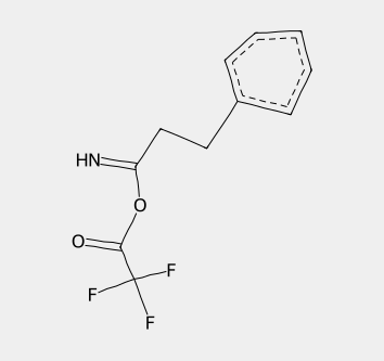 N=C(CCc1ccccc1)OC(=O)C(F)(F)F